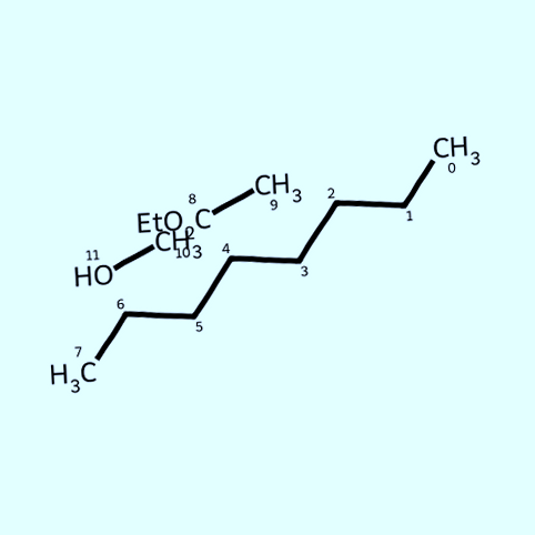 CCCCCCCC.CCOC(C)=O.CO